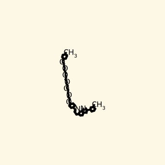 Cc1ccc(OCCOCCOCCOCCOCCOCCOc2ccc(-c3ccc4ccc5cc(-c6cccc(C)c6)cnc5c4n3)cc2)cc1